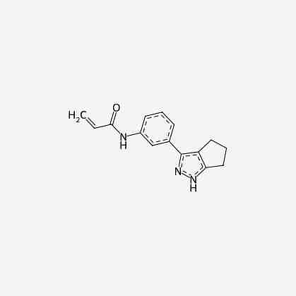 C=CC(=O)Nc1cccc(-c2n[nH]c3c2CCC3)c1